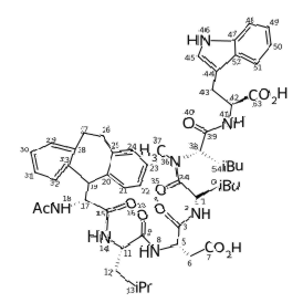 CC[C@H](C)[C@H](NC(=O)[C@H](CC(=O)O)NC(=O)[C@H](CC(C)C)NC(=O)[C@H](NC(C)=O)C1c2ccccc2CCc2ccccc21)C(=O)N(C)[C@H](C(=O)N[C@@H](Cc1c[nH]c2ccccc12)C(=O)O)[C@@H](C)CC